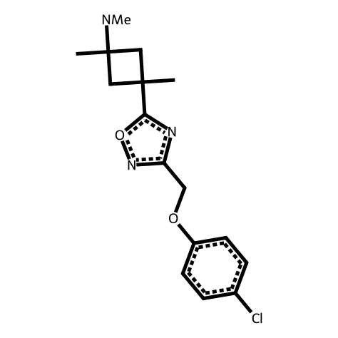 CNC1(C)CC(C)(c2nc(COc3ccc(Cl)cc3)no2)C1